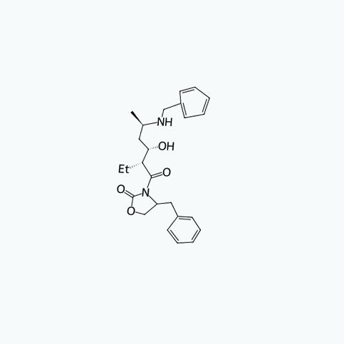 CC[C@@H](C(=O)N1C(=O)OCC1Cc1ccccc1)[C@@H](O)C[C@@H](C)NCc1ccccc1